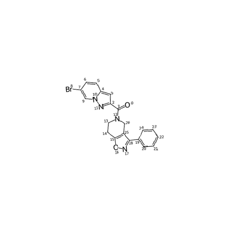 O=C(c1cc2ccc(Br)cn2n1)N1CCc2onc(-c3ccccc3)c2C1